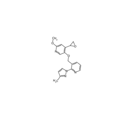 COc1cc(C2CO2)c(OCc2cccnc2-n2ccc(C)n2)cn1